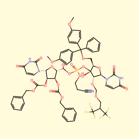 COc1ccc(C(OC[C@H]2O[C@@H](n3ccc(=O)[nH]c3=O)[C@H](OCOCC(C(F)(F)F)C(F)(F)F)[C@]2(O)OP(=O)(OCCC#N)OC(O)[C@H]2O[C@@H](n3ccc(=O)[nH]c3=O)[C@H](OC(=O)OCc3ccccc3)[C@@H]2OC(=O)OCc2ccccc2)(c2ccccc2)c2ccc(OC)cc2)cc1